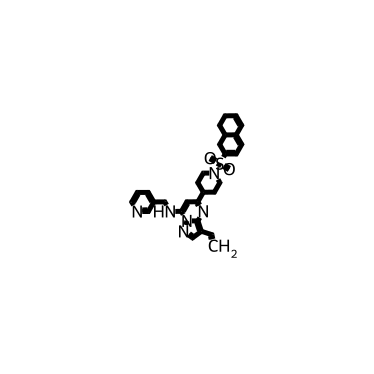 C=Cc1cnn2c(NCc3cccnc3)cc(C3CCN(S(=O)(=O)C4=CC=C5C=CCCC5C4)CC3)nc12